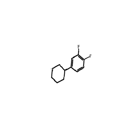 Fc1ccc(C2C[CH]CCC2)cc1F